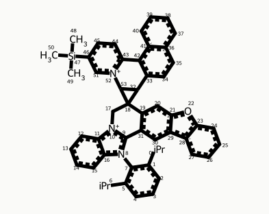 CC(C)c1cccc(C(C)C)c1-n1c2[n+](c3ccccc31)CC1(c3cc4oc5ccccc5c4cc3-2)C2c3ccc4ccccc4c3-c3ccc([Si](C)(C)C)c[n+]3C21